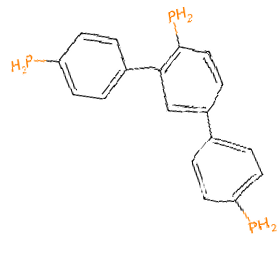 Pc1ccc(-c2ccc(P)c(-c3ccc(P)cc3)c2)cc1